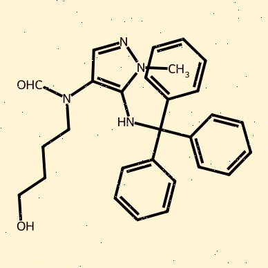 Cn1ncc(N(C=O)CCCCO)c1NC(c1ccccc1)(c1ccccc1)c1ccccc1